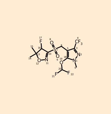 Cn1nc(C(F)(F)F)c(CS(=O)(=O)C2=NOC(C)(C)C2F)c1OC(F)F